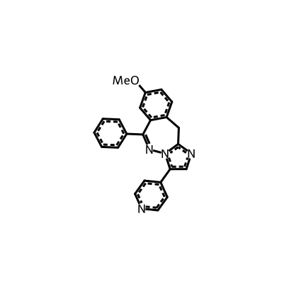 COc1ccc2c(c1)C(c1ccccc1)=Nn1c(-c3ccncc3)cnc1C2